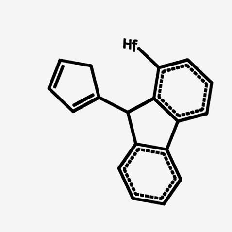 [Hf][c]1cccc2c1C(C1=CC=CC1)c1ccccc1-2